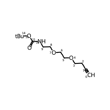 C#CCCOCCOCCNC(=O)OC(C)(C)C